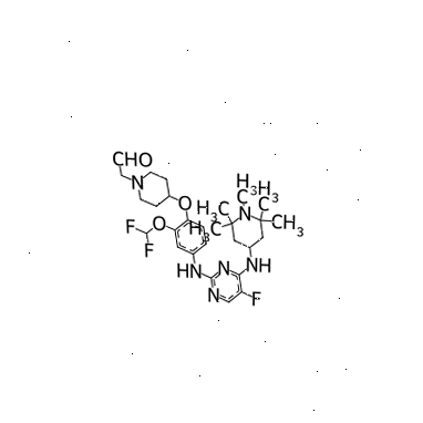 CN1C(C)(C)CC(Nc2nc(Nc3ccc(OC4CCN(CC=O)CC4)c(OC(F)F)c3)ncc2F)CC1(C)C